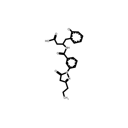 CCCC1=NN(c2cccc(C(=O)NC(CC(=O)O)Cc3ccccc3Cl)c2)C(=O)C1